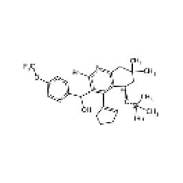 CC(C)c1nc2c(c(C3=CCCC3)c1C(O)c1ccc(OC(F)(F)F)cc1)[C@H](O[Si](C)(C)C(C)(C)C)CC(C)(C)C2